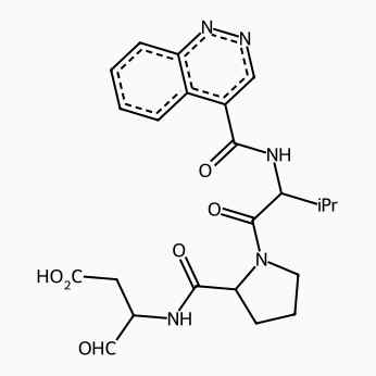 CC(C)C(NC(=O)c1cnnc2ccccc12)C(=O)N1CCCC1C(=O)NC(C=O)CC(=O)O